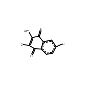 CCCC1=C(Cl)C(=O)c2ccc(Cl)cc2C1=O